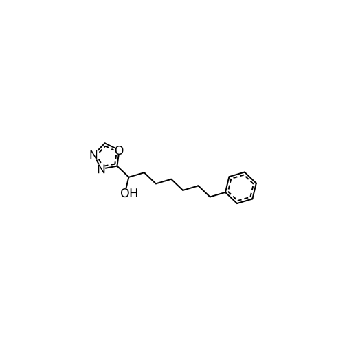 OC(CCCCCCc1ccccc1)c1nnco1